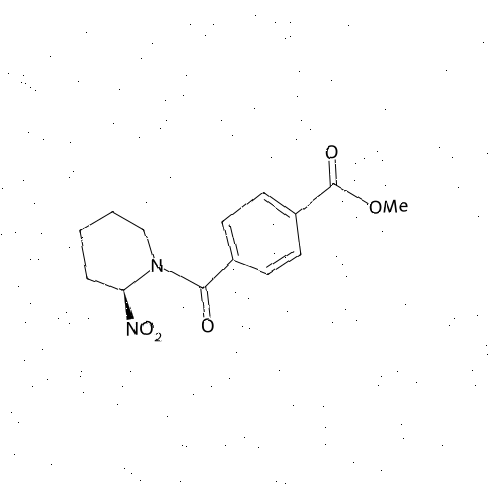 COC(=O)c1ccc(C(=O)N2CCCC[C@@H]2[N+](=O)[O-])cc1